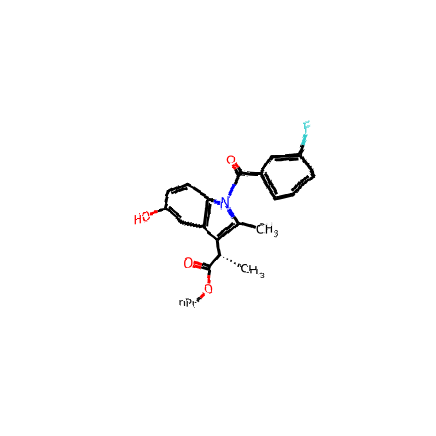 CCCOC(=O)[C@@H](C)c1c(C)n(C(=O)c2cccc(F)c2)c2ccc(O)cc12